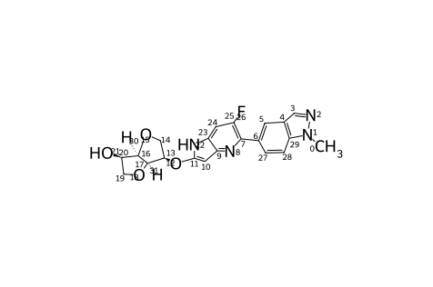 Cn1ncc2cc(-c3nc4cc(O[C@@H]5CO[C@H]6[C@@H]5OC[C@H]6O)[nH]c4cc3F)ccc21